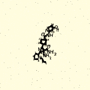 CC=CN1CCCCC1c1nc(-c2ccc(C(=O)Nc3cc(OC)ccn3)cc2)c(C(N)=O)n1N